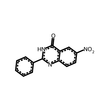 O=c1[nH]c(-c2ccccc2)nc2ccc([N+](=O)[O-])cc12